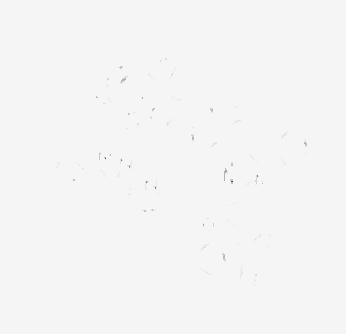 C1=C(c2nc(-c3ccccc3)cc(-c3ccc(-c4ccc5c(c4)-c4ccccc4C54c5ccccc5Oc5cc(-c6nc(-c7ccccc7)cc(-c7ccccn7)n6)ccc54)c4ccccc34)n2)CCC2=C1Oc1ccccc1C21c2ccccc2-c2ccccc21